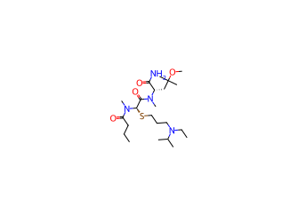 CCCC(=O)N(C)[C@H](SCCCN(CC)C(C)C)C(=O)N(C)[C@@H](CC(C)(C)OC)C(N)=O